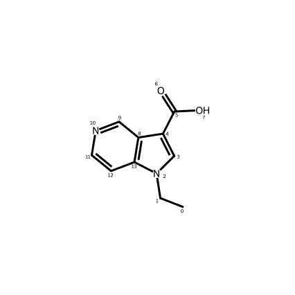 CCn1cc(C(=O)O)c2cnccc21